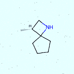 C[C@@H]1CNC12CCCC2